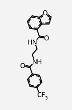 O=C(NCCNC(=O)c1cccc2occc12)c1ccc(C(F)(F)F)cc1